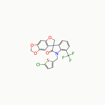 O=C1N(Cc2ccc(Cl)s2)c2c(C(F)(F)F)cccc2C12COc1cc3c(cc12)OCO3